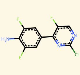 Nc1c(F)cc(-c2nc(Cl)ncc2F)cc1F